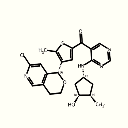 [CH2][C@@H]1C[C@@H](Nc2ncncc2C(=O)c2cc([C@@H]3OCCc4cnc(Cl)cc43)c(C)s2)C[C@@H]1O